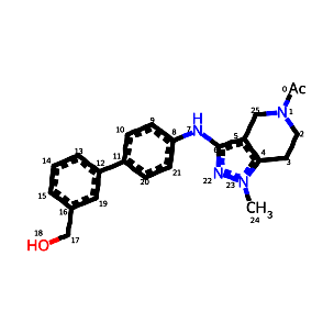 CC(=O)N1CCc2c(c(Nc3ccc(-c4cccc(CO)c4)cc3)nn2C)C1